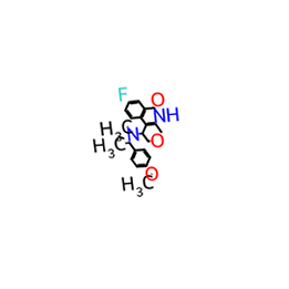 COc1ccc([C@@H](C)N(C)[C@@H]2COCc3[nH]c(=O)c4cc(F)ccc4c32)cc1